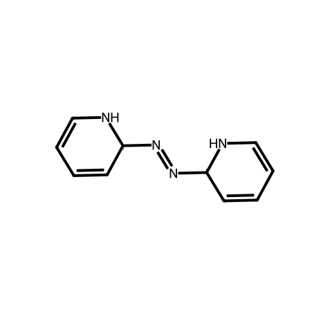 C1=CN[C](/N=N/[C]2C=CC=CN2)C=C1